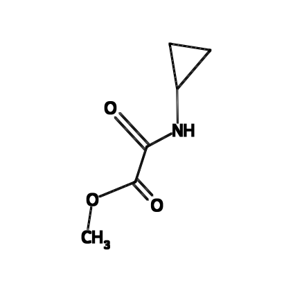 COC(=O)C(=O)NC1CC1